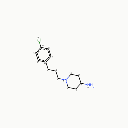 NC1CCN(CCCc2ccc(Cl)cc2)CC1